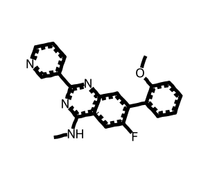 CNc1nc(-c2cccnc2)nc2cc(-c3ccccc3OC)c(F)cc12